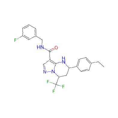 CCc1ccc(C2CC(C(F)(F)F)n3ncc(C(=O)NCc4cccc(F)c4)c3N2)cc1